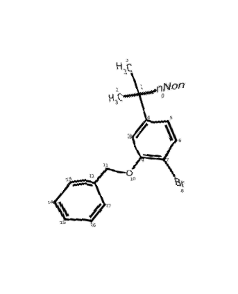 CCCCCCCCCC(C)(C)c1ccc(Br)c(OCc2ccccc2)c1